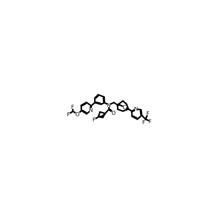 O=C(N(CC12CCC(c3ccc(C(F)(F)F)cn3)(CC1)CC2)c1cccc(-c2ccc(OC(F)F)cn2)c1)C12CC(F)(C1)C2